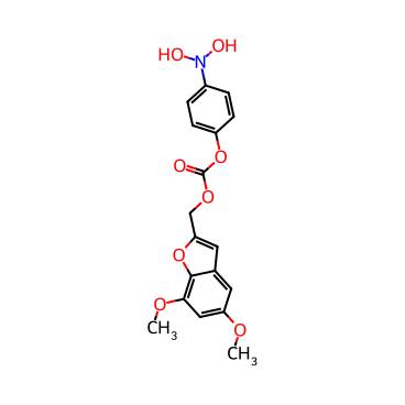 COc1cc(OC)c2oc(COC(=O)Oc3ccc(N(O)O)cc3)cc2c1